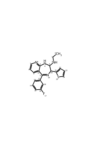 CCNC1Nc2ncccc2C(c2cccc(F)c2)=NC1c1cccs1